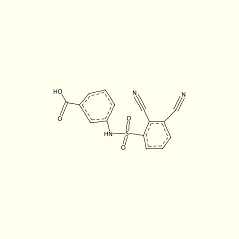 N#Cc1cccc(S(=O)(=O)Nc2cccc(C(=O)O)c2)c1C#N